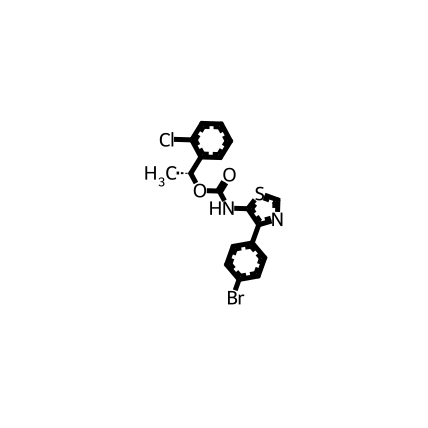 C[C@@H](OC(=O)Nc1scnc1-c1ccc(Br)cc1)c1ccccc1Cl